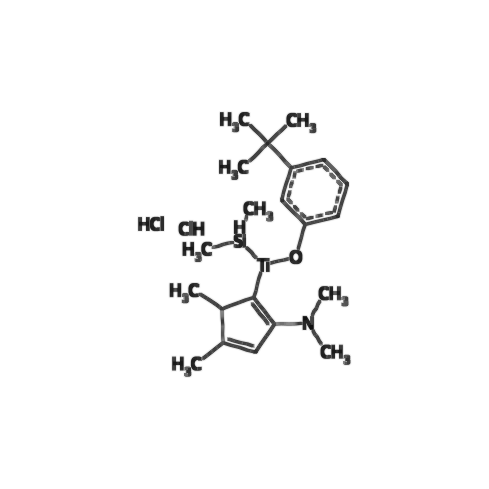 CC1=CC(N(C)C)=[C]([Ti]([O]c2cccc(C(C)(C)C)c2)[SiH](C)C)C1C.Cl.Cl